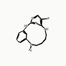 CC(=O)N1CCCCNc2nc(ncc2Br)Nc2cccc1c2